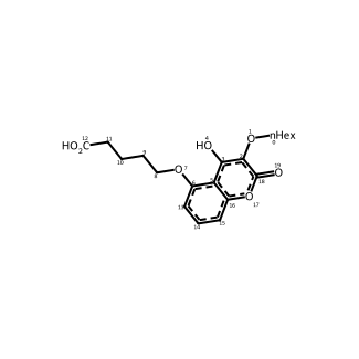 CCCCCCOc1c(O)c2c(OCCCCC(=O)O)cccc2oc1=O